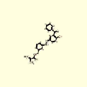 C=C(C)C(=O)OCc1cccc(/N=N/c2ccc(O)c(C(=O)c3ccccc3)c2)c1